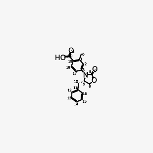 Cc1cc(N2C(=O)OC[C@@H]2Cc2ccccc2)ccc1C(=O)O